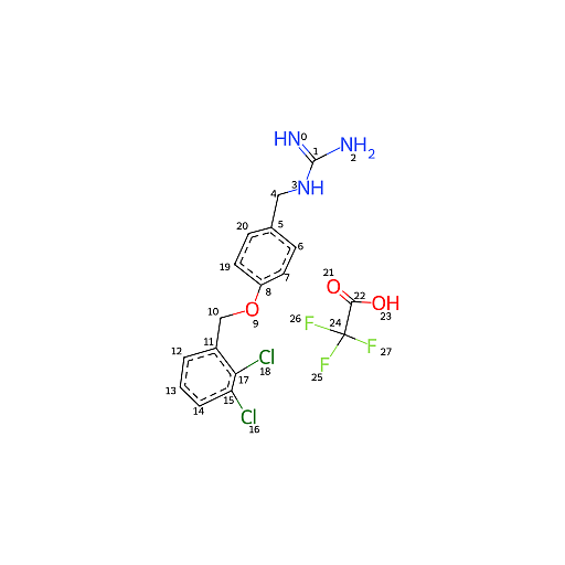 N=C(N)NCc1ccc(OCc2cccc(Cl)c2Cl)cc1.O=C(O)C(F)(F)F